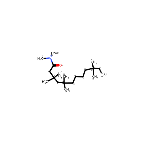 CON(C)C(=O)CC(C)(C)CC(C)(C)CCCCC(C)(C)CC(C)(C)C